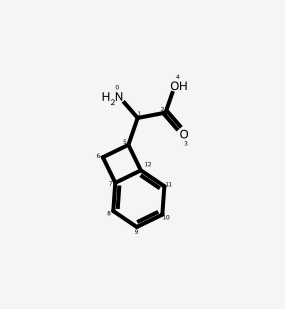 NC(C(=O)O)C1Cc2ccccc21